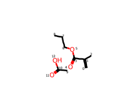 C=C(C)C(=O)OCCC.CC(=O)O